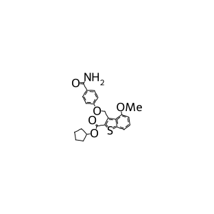 COc1cccc2sc(C(=O)OC3CCCC3)c(COc3ccc(C(N)=O)cc3)c12